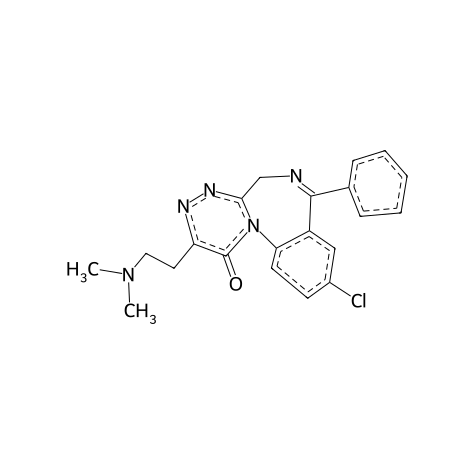 CN(C)CCc1nnc2n(c1=O)-c1ccc(Cl)cc1C(c1ccccc1)=NC2